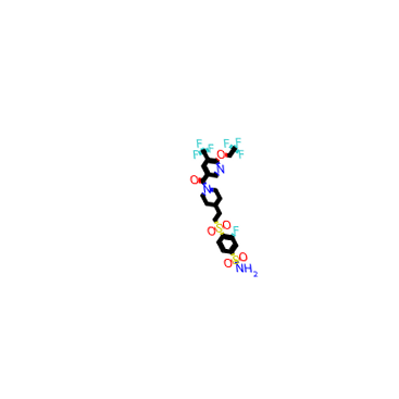 NS(=O)(=O)c1ccc(S(=O)(=O)CCC2CCN(C(=O)c3cnc(OCC(F)(F)F)c(C(F)(F)F)c3)CC2)c(F)c1